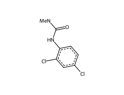 CNC(=O)Nc1ccc(Cl)cc1Cl